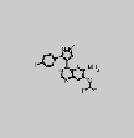 Cn1cc(-c2ncnc3cc(OC(F)F)c(N)nc23)c(-c2ccc(F)cc2)n1